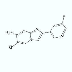 Fc1cncc(-c2cn3cc(Cl)c(P)cc3n2)c1